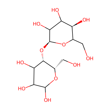 OCC1O[C@@H](O[C@H]2C(O)C(O)C(O)O[C@H]2CO)C(O)C(O)[C@H]1O